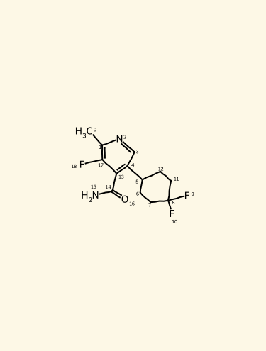 Cc1ncc(C2CCC(F)(F)CC2)c(C(N)=O)c1F